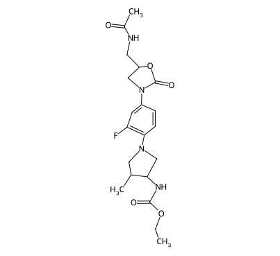 CCOC(=O)NC1CN(c2ccc(N3CC(CNC(C)=O)OC3=O)cc2F)CC1C